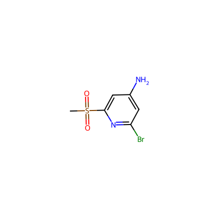 CS(=O)(=O)c1cc(N)cc(Br)n1